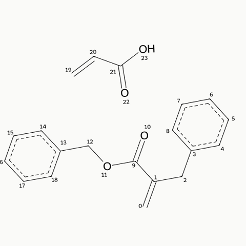 C=C(Cc1ccccc1)C(=O)OCc1ccccc1.C=CC(=O)O